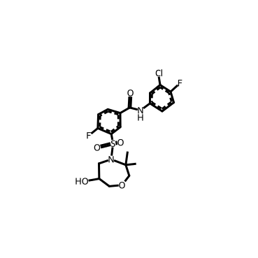 CC1(C)COCC(O)CN1S(=O)(=O)c1cc(C(=O)Nc2ccc(F)c(Cl)c2)ccc1F